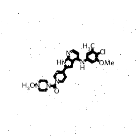 COc1cc(Nc2ccnc3[nH]c(C4=CCN(C(=O)N5CCN(C)CC5)CC4)cc23)cc(C)c1Cl